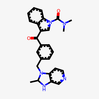 CC1Nc2cnccc2N1Cc1cccc(C(=O)c2cn(C(=O)N(C)C)c3ccccc23)c1